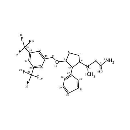 CN(CC(N)=O)C1CCC(OCc2cc(C(F)(F)F)cc(C(F)(F)F)c2)C1c1ccccc1